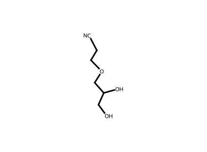 N#CCCOCC(O)CO